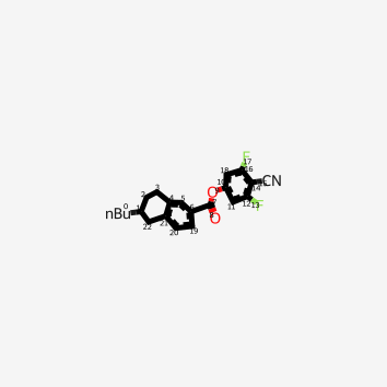 CCCCC1CCc2cc(C(=O)Oc3cc(F)c(C#N)c(F)c3)ccc2C1